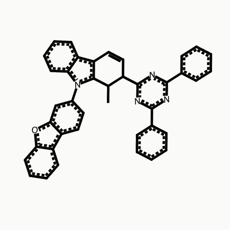 CC1c2c(c3ccccc3n2-c2ccc3c(c2)oc2ccccc23)C=CC1c1nc(-c2ccccc2)nc(-c2ccccc2)n1